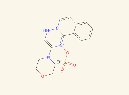 CCS(=O)(=O)O[N+]1=C2c3ccccc3C=CN2NC=C1N1CCOCC1